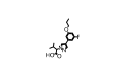 CCCOc1cc(F)cc(-c2cnn(C(C(=O)O)C(C)C)c2)c1